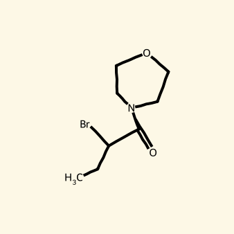 CCC(Br)C(=O)N1CCOCC1